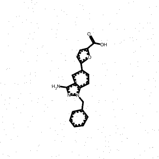 Nc1nn(Cc2ccccc2)c2ccc(-c3ccc(C(=O)O)o3)cc12